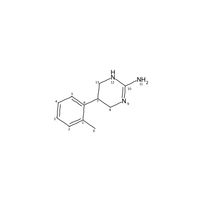 Cc1ccccc1C1CN=C(N)NC1